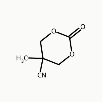 CC1(C#N)COC(=O)OC1